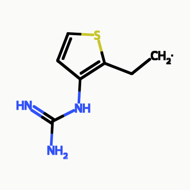 [CH2]Cc1sccc1NC(=N)N